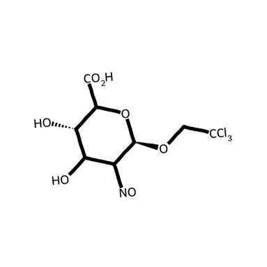 O=NC1C(O)[C@H](O)C(C(=O)O)O[C@H]1OCC(Cl)(Cl)Cl